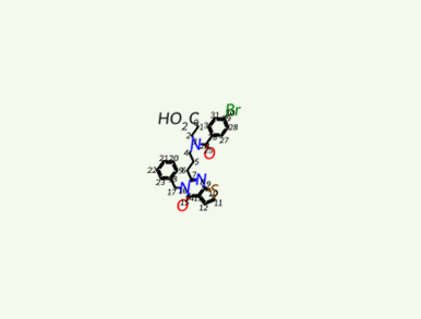 O=C(O)CCN(CCCc1nc2sccc2c(=O)n1Cc1ccccc1)C(=O)c1ccc(Br)cc1